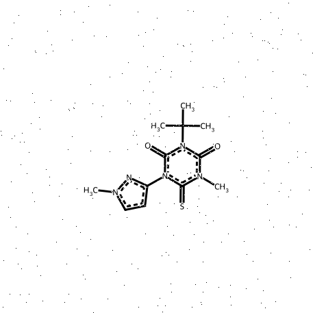 Cn1ccc(-n2c(=S)n(C)c(=O)n(C(C)(C)C)c2=O)n1